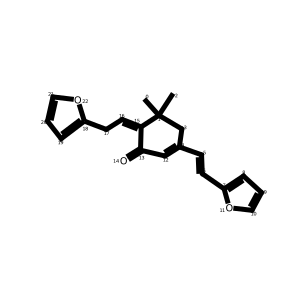 CC1(C)CC(C=Cc2ccco2)=CC(=O)C1=CCc1ccco1